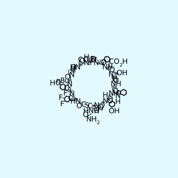 CCCC[C@H]1C(=O)N2CCC[C@@H]2C(=O)N[C@@H](CC(=O)O)C(=O)N[C@@H](C(C)C)C(=O)N(C)[C@@H](Cc2ccccc2)C(=O)N[C@@H](CCC(=O)O)C(=O)N2C[C@H](O)C[C@@H]2C(=O)N[C@@H](Cc2c[nH]c3ccccc23)C(=O)N[C@@H](Cc2ccc(O)cc2)C(=O)N[C@@H](CC(C)C)C(=O)N[C@H](C(=O)NCC(N)=O)CSCC(=O)N[C@@H](Cc2cc(F)c(F)c(F)c2)C(=O)N(C)[C@@H](Cc2ccc(O)cc2)C(=O)N1C